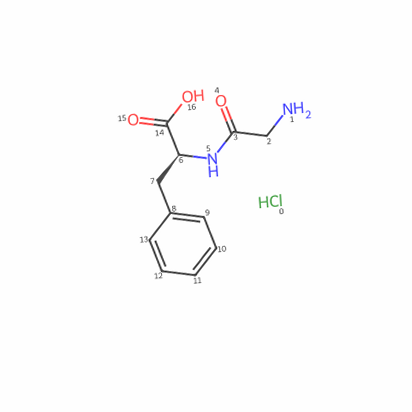 Cl.NCC(=O)N[C@@H](Cc1ccccc1)C(=O)O